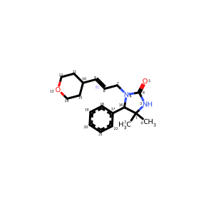 CC1(C)NC(=O)N(C/C=C/C2CCOCC2)C1c1ccccc1